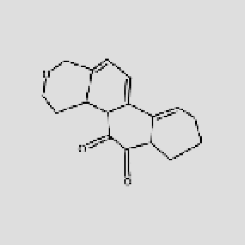 O=C1C(=O)C2C(=CC=C3COCCC32)C2=CCCCC12